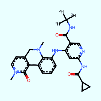 [2H]C([2H])([2H])NC(=O)c1cnc(NC(=O)C2CC2)cc1Nc1cccc2c1N(C)Cc1ccn(C)c(=O)c1-2